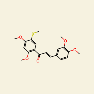 COc1ccc(/C=C/C(=O)c2cc(SC)c(OC)cc2OC)cc1OC